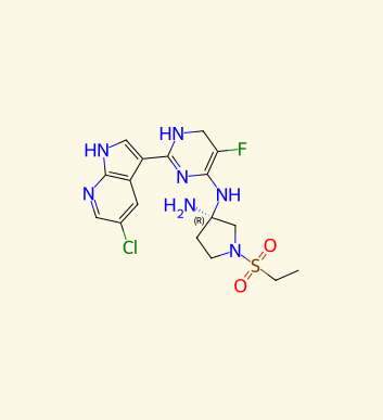 CCS(=O)(=O)N1CC[C@@](N)(NC2=C(F)CNC(c3c[nH]c4ncc(Cl)cc34)=N2)C1